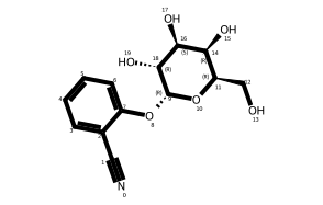 N#Cc1ccccc1O[C@H]1O[C@H](CO)[C@H](O)[C@H](O)[C@H]1O